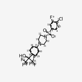 O=S(=O)(c1cnc(Cl)c(F)c1)N1CCN(c2ccc(C(O)(C(F)(F)F)C(F)(F)F)cc2)CC1